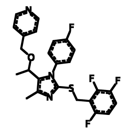 Cc1nc(SCc2c(F)ccc(F)c2F)n(-c2ccc(F)cc2)c1C(C)OCc1ccncc1